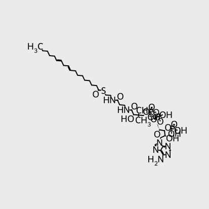 CCCCCC=CCC=CCCCCCCCC(=O)SCCNC(=O)CCNC(=O)[C@H](O)C(C)(C)COP(=O)(O)OP(=O)(O)OC[C@H]1O[C@@H](n2cnc3c(N)ncnc32)[C@H](O)[C@@H]1OP(=O)(O)O